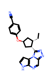 CC[C@H]1C[C@H](Oc2ccc(C#N)cc2)C[C@H]1c1nnc2cnc3[nH]ccc3n12